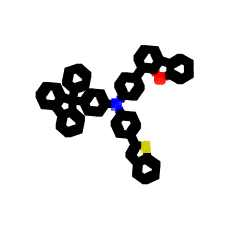 c1ccc(C2(c3ccc(N(c4ccc(-c5cc6ccccc6s5)cc4)c4ccc(-c5cccc6c5oc5ccccc56)cc4)cc3)c3ccccc3-c3ccccc32)cc1